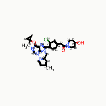 Cc1ccnc(Cn2c(-c3ccc(CC(=O)N4CCC(O)CC4)cc3Cl)nc3c(OC4(C)CC4)ncnc32)c1